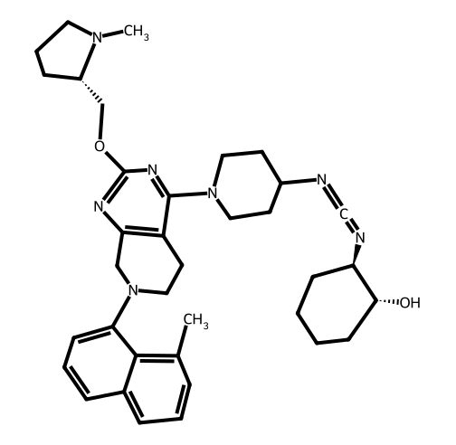 Cc1cccc2cccc(N3CCc4c(nc(OC[C@@H]5CCCN5C)nc4N4CCC(N=C=N[C@@H]5CCCC[C@H]5O)CC4)C3)c12